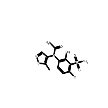 Cc1oncc1N(C(N)=O)c1ccc(Cl)c(S(N)(=O)=O)c1O